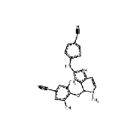 Cc1cc(C#N)cc(C)c1OC1c2cc(Nc3ccc(C#N)cc3)[nH]c2C=CN1C